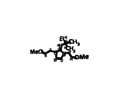 CCC(C)(C)N=C1N(CCOC)CCN1CCOC